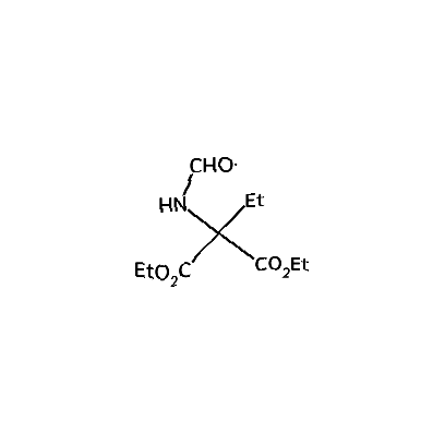 CCOC(=O)C(CC)(N[C]=O)C(=O)OCC